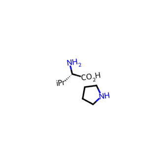 C1CCNC1.CC(C)[C@H](N)C(=O)O